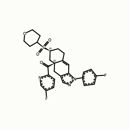 O=C(c1ccc(F)cn1)[C@]12Cc3cnn(-c4ccc(F)cc4)c3C=C1CC[C@H](S(=O)(=O)C1CCOCC1)C2